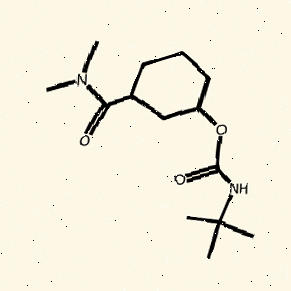 CN(C)C(=O)C1CCCC(OC(=O)NC(C)(C)C)C1